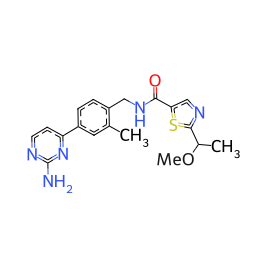 COC(C)c1ncc(C(=O)NCc2ccc(-c3ccnc(N)n3)cc2C)s1